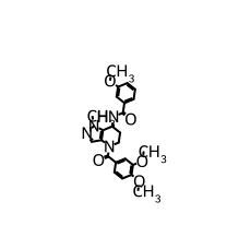 COc1cccc(C(=O)NC2CCN(C(=O)c3ccc(OC)c(OC)c3)c3cnn(C)c32)c1